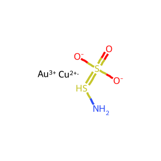 N[SH]=S(=O)([O-])[O-].[Au+3].[Cu+2]